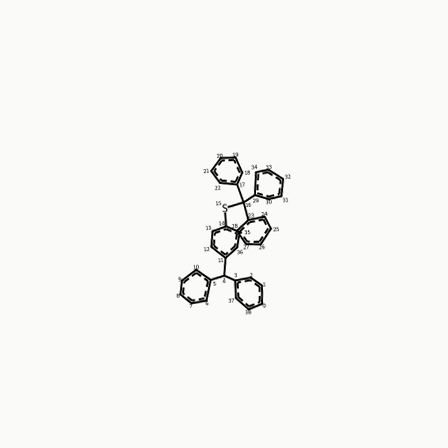 c1ccc([C](c2ccccc2)c2ccc(SC(c3ccccc3)(c3ccccc3)c3ccccc3)cc2)cc1